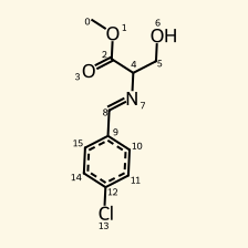 COC(=O)C(CO)/N=C/c1ccc(Cl)cc1